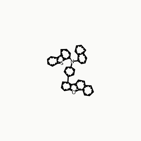 c1ccc2c(N(c3ccc(-c4cccc5oc6c7ccccc7ccc6c45)cc3)c3cccc4c3sc3ccccc34)cccc2c1